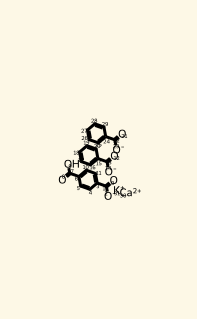 O=C([O-])c1ccc(C(=O)O)cc1.O=C([O-])c1ccccc1.O=C([O-])c1ccccc1.[Ca+2].[K+]